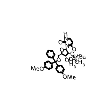 COc1ccc(C(OC[C@H]2O[C@@H](n3c(=O)cc[nH]c3=O)[C@H](O[Si](C)(C)C(C)(C)C)[C@@H]2O)(c2ccccc2)c2ccc(OC)cc2)cc1